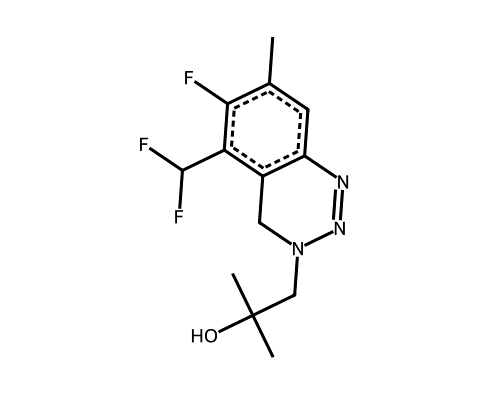 Cc1cc2c(c(C(F)F)c1F)CN(CC(C)(C)O)N=N2